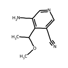 COC(C)c1c(N)cncc1C#N